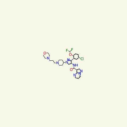 O=C(Nc1cn(C2CCN(CCCN3CCOCC3)CC2)nc1-c1cc(Cl)ccc1OC(F)F)c1cnn2cccnc12